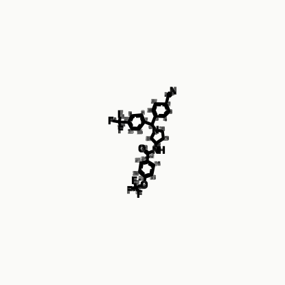 N#Cc1ccc(C(c2ccc(C(F)(F)F)cc2)N2CC[C@@H](NC(=O)c3ccc(OC(F)(F)F)cc3)C2)cc1